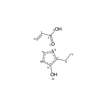 C=CC(=O)O.CCc1sccc1O